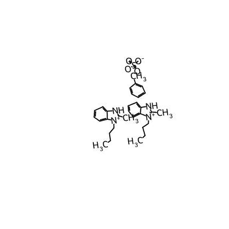 CCCC[n+]1c(C)[nH]c2ccccc21.CCCC[n+]1c(C)[nH]c2ccccc21.Cc1ccccc1.O=S(=O)([O-])[O-]